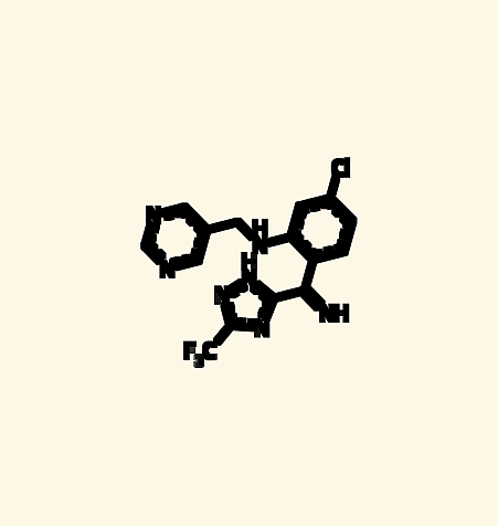 N=C(c1nc(C(F)(F)F)n[nH]1)c1ccc(Cl)cc1NCc1cncnc1